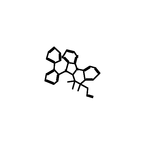 C=CCC1(C)c2ccccc2N2c3nccnc3N(c3ccccc3-c3ccccc3)C2C1(C)C